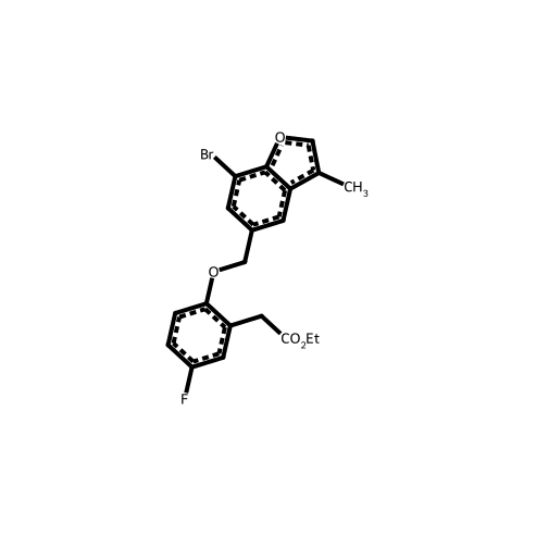 CCOC(=O)Cc1cc(F)ccc1OCc1cc(Br)c2occ(C)c2c1